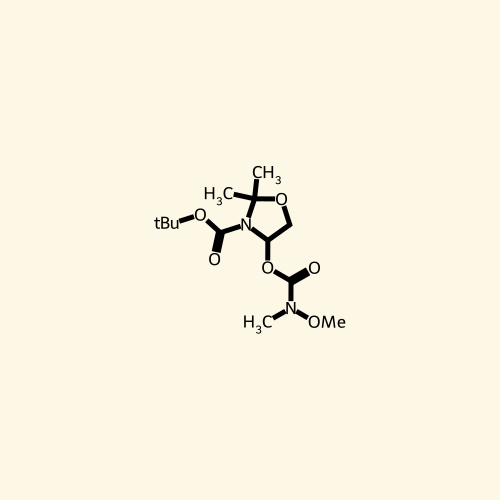 CON(C)C(=O)OC1COC(C)(C)N1C(=O)OC(C)(C)C